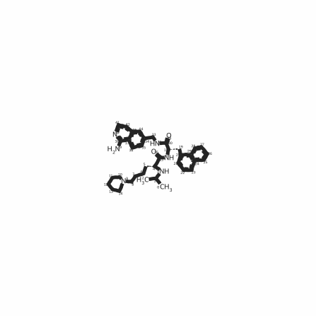 CC(C)N[C@H](CCCCN1CCCCC1)C(=O)N[C@@H](Cc1cccc2ccccc12)C(=O)NCc1ccc2c(N)nccc2c1